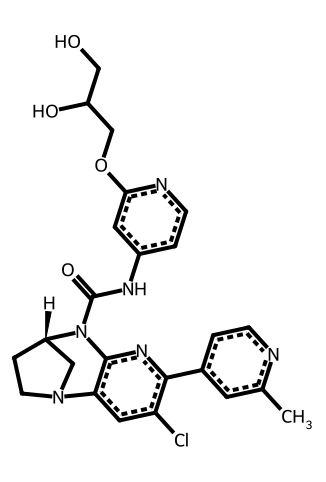 Cc1cc(-c2nc3c(cc2Cl)N2CC[C@@H](C2)N3C(=O)Nc2ccnc(OCC(O)CO)c2)ccn1